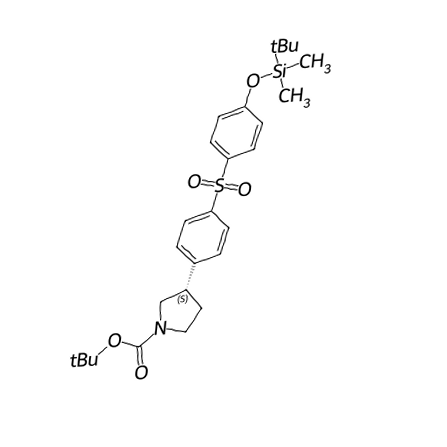 CC(C)(C)OC(=O)N1CC[C@@H](c2ccc(S(=O)(=O)c3ccc(O[Si](C)(C)C(C)(C)C)cc3)cc2)C1